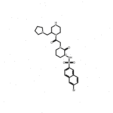 O=C1[C@@H](NS(=O)(=O)c2ccc3cc(Br)ccc3c2)CCCN1CC(=O)N1CCNCC1CN1CCCC1